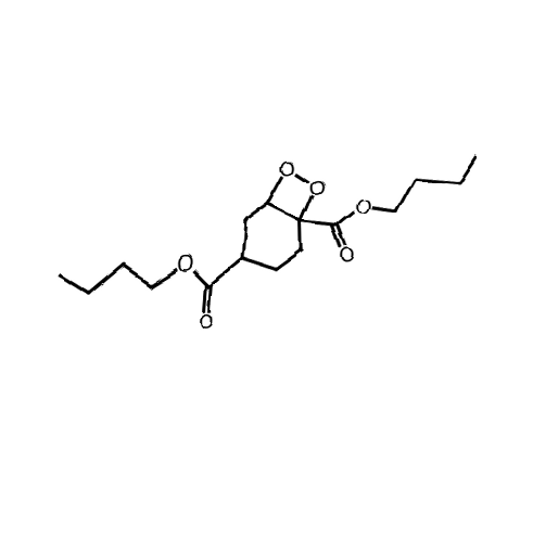 CCCCOC(=O)C1CCC2(C(=O)OCCCC)OOC2C1